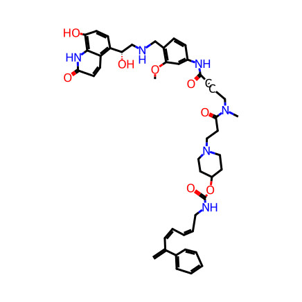 C=C(/C=C\C=C/CNC(=O)OC1CCN(CCC(=O)N(C)CCCC(=O)Nc2ccc(CNC[C@H](O)c3ccc(O)c4[nH]c(=O)ccc34)c(OC)c2)CC1)c1ccccc1